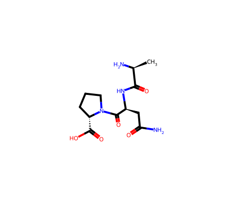 C[C@H](N)C(=O)N[C@@H](CC(N)=O)C(=O)N1CCC[C@H]1C(=O)O